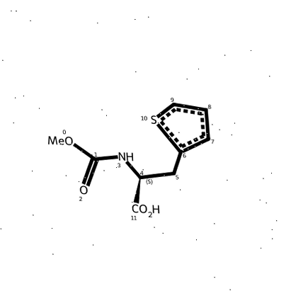 COC(=O)N[C@@H](Cc1cccs1)C(=O)O